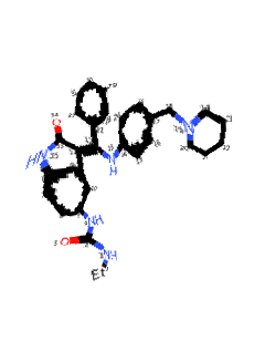 CCNC(=O)Nc1ccc2c(c1)C(=C(Nc1ccc(CN3CCCCC3)cc1)c1ccccc1)C(=O)N2